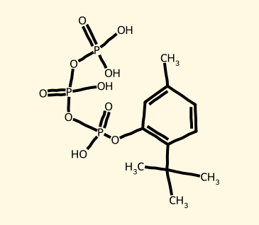 Cc1ccc(C(C)(C)C)c(OP(=O)(O)OP(=O)(O)OP(=O)(O)O)c1